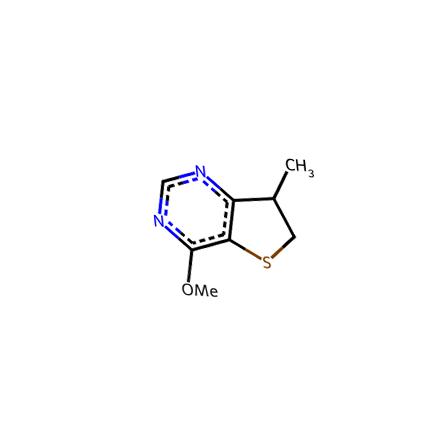 COc1ncnc2c1SCC2C